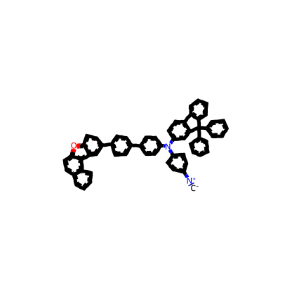 [C-]#[N+]c1ccc(N(c2ccc(-c3ccc(-c4ccc5oc6ccc7ccccc7c6c5c4)cc3)cc2)c2ccc3c(c2)C(c2ccccc2)(c2ccccc2)c2ccccc2-3)cc1